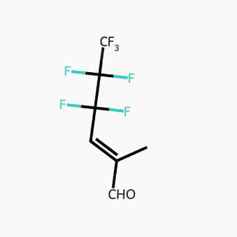 CC(C=O)=CC(F)(F)C(F)(F)C(F)(F)F